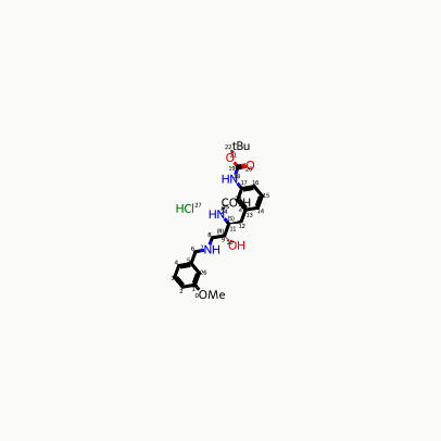 COc1cccc(CNC[C@@H](O)[C@H](Cc2cccc(NC(=O)OC(C)(C)C)c2)NC(=O)O)c1.Cl